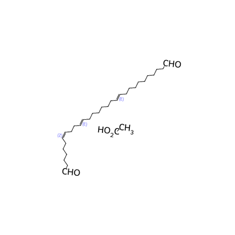 CC(=O)O.O=CCCCCC/C=C\CC/C=C/CCCCCC/C=C/CCCCCCCCCC=O